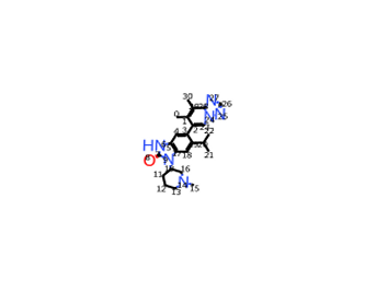 Cc1c(-c2cc3[nH]c(=O)n([C@@H]4CCCN(C)C4)c3cc2C(C)C)cn2ncnc2c1C